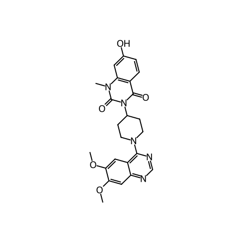 COc1cc2ncnc(N3CCC(n4c(=O)c5ccc(O)cc5n(C)c4=O)CC3)c2cc1OC